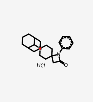 Cl.O=C1CC2(CCN(C3C4CCCC3CCC4)CC2)N1c1ccccc1